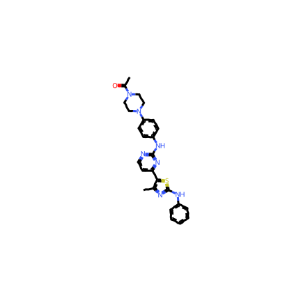 CC(=O)N1CCN(c2ccc(Nc3nccc(-c4sc(Nc5ccccc5)nc4C)n3)cc2)CC1